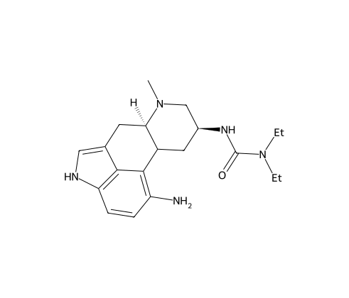 CCN(CC)C(=O)N[C@H]1CC2c3c(N)ccc4[nH]cc(c34)C[C@H]2N(C)C1